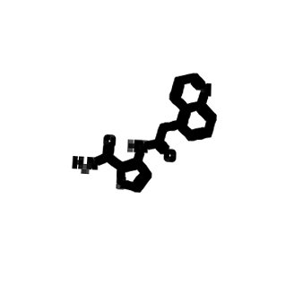 NC(=O)c1sccc1NC(=O)Cc1cccc2ncccc12